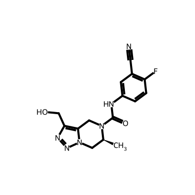 C[C@H]1Cn2nnc(CO)c2CN1C(=O)Nc1ccc(F)c(C#N)c1